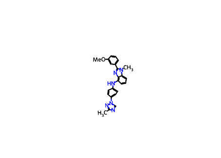 COc1cccc(-c2nc3c(Nc4ccc(-n5cnc(C)n5)cc4)cccc3n2C)c1